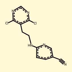 N#Cc1ccc(NCCc2c(Cl)ncnc2Cl)nc1